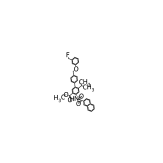 COC(=O)c1cc(-c2ccc(COc3cccc(CF)c3)cc2)c(C(C)C)cc1NS(=O)(=O)c1ccc2ccccc2c1